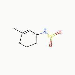 CC1=CC(N[SH](=O)=O)CCC1